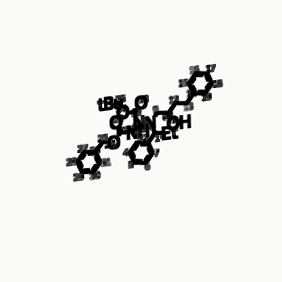 CCC(c1ccccc1)N(C[C@@H](O)CCc1ccccc1)N(NC(=O)OCc1ccccc1)C(=O)OC(C)(C)C